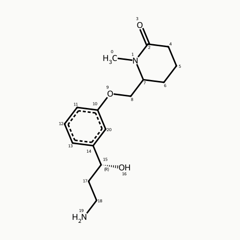 CN1C(=O)CCCC1COc1cccc([C@H](O)CCN)c1